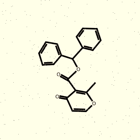 Cc1occc(=O)c1C(=O)OC(c1ccccc1)c1ccccc1